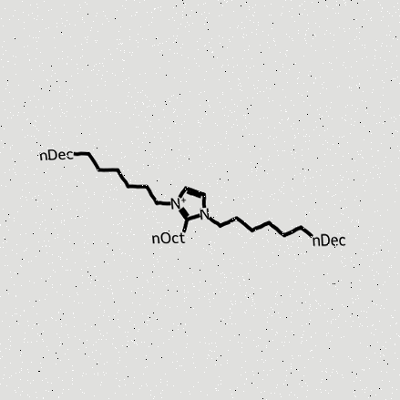 CCCCCCCCCCCCCCCCn1cc[n+](CCCCCCCCCCCCCCCC)c1CCCCCCCC